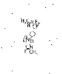 Cc1ncc(C[C@H]2CC[C@H](C(=O)N3OCC[C@H]3c3cnc(C)c(F)c3)CC2)c(C(F)(F)F)n1